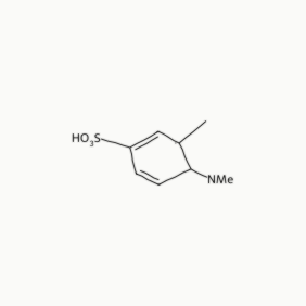 CNC1C=CC(S(=O)(=O)O)=C[C]1C